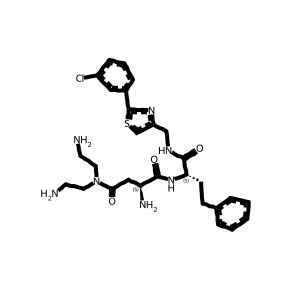 NCCN(CCN)C(=O)C[C@H](N)C(=O)N[C@@H](CCc1ccccc1)C(=O)NCc1csc(-c2cccc(Cl)c2)n1